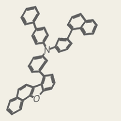 c1ccc(-c2ccc(N(c3cccc(-c4cccc5ccccc45)c3)c3cccc(-c4cccc5oc6c7ccccc7ccc6c45)c3)cc2)cc1